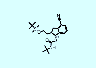 CC(C)(C)NC(=O)O[C@H]1c2cccc(C#N)c2CC1CCO[Si](C)(C)C(C)(C)C